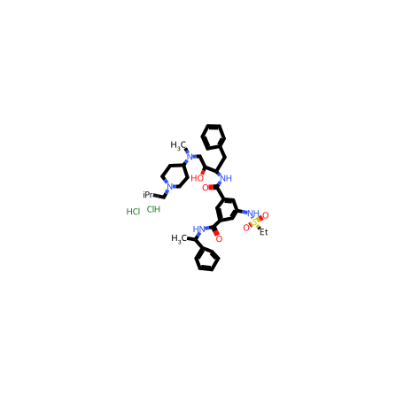 CCS(=O)(=O)Nc1cc(C(=O)NC(C)c2ccccc2)cc(C(=O)NC(Cc2ccccc2)C(O)CN(C)C2CCN(CC(C)C)CC2)c1.Cl.Cl